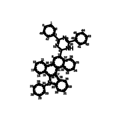 c1ccc(C2=NC(c3cc4c5ccccc5c5c(c6ccccc6n5-c5ccccc5)c4c4ccccc34)NC(c3ccccc3)=N2)cc1